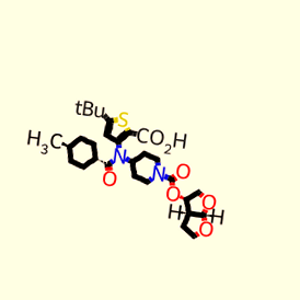 CC(C)(C)c1cc(N(C(=O)[C@H]2CC[C@H](C)CC2)C2CCN(C(=O)O[C@H]3CO[C@H]4OCC[C@H]43)CC2)c(C(=O)O)s1